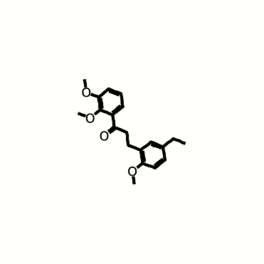 CCc1ccc(OC)c(CCC(=O)c2cccc(OC)c2OC)c1